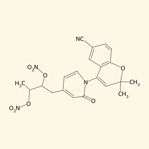 CC(O[N+](=O)[O-])C(Cc1ccn(C2=CC(C)(C)Oc3ccc(C#N)cc32)c(=O)c1)O[N+](=O)[O-]